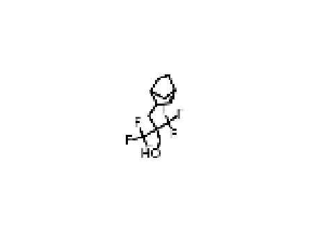 OCC(CC1C=C2CCC1C2)(C(F)(F)F)C(F)(F)F